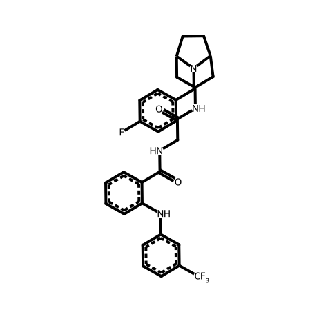 O=C(CNC(=O)c1ccccc1Nc1cccc(C(F)(F)F)c1)NC1CC2CCC(C1)N2Cc1ccc(F)cc1